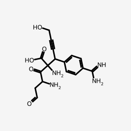 N=C(N)c1ccc(C(C#CCO)C(N)(C(=O)O)C(=O)C(N)CC=O)cc1